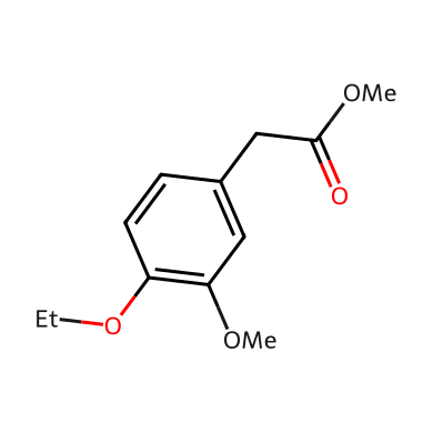 CCOc1ccc(CC(=O)OC)cc1OC